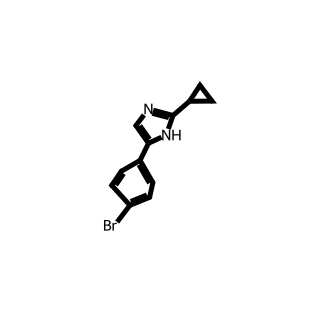 Brc1ccc(-c2cnc(C3CC3)[nH]2)cc1